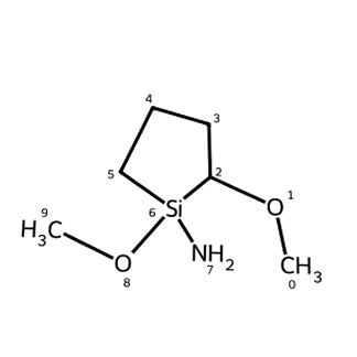 COC1CCC[Si]1(N)OC